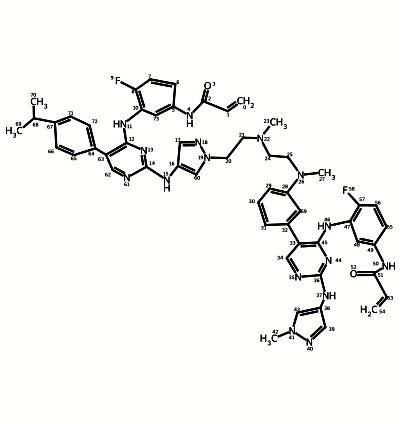 C=CC(=O)Nc1ccc(F)c(Nc2nc(Nc3cnn(CCN(C)CCN(C)c4cccc(-c5cnc(Nc6cnn(C)c6)nc5Nc5cc(NC(=O)C=C)ccc5F)c4)c3)ncc2-c2ccc(C(C)C)cc2)c1